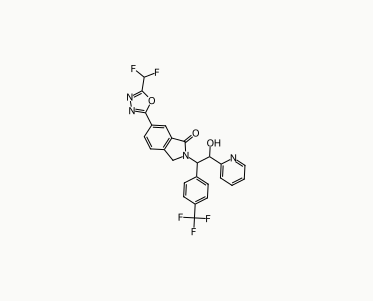 O=C1c2cc(-c3nnc(C(F)F)o3)ccc2CN1C(c1ccc(C(F)(F)F)cc1)C(O)c1ccccn1